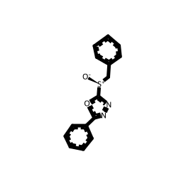 [O-][S@@+](Cc1ccccc1)c1nnc(-c2ccccc2)o1